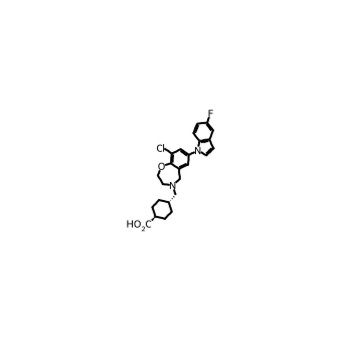 O=C(O)[C@H]1CC[C@H](CN2CCOc3c(Cl)cc(-n4ccc5cc(F)ccc54)cc3C2)CC1